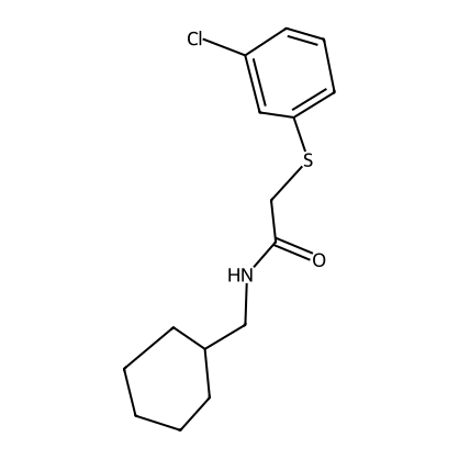 O=C(CSc1cccc(Cl)c1)NCC1CCCCC1